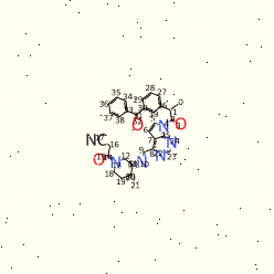 CC(C(=O)n1ccc2c(C=N[C@H]3CN(C(=O)CC#N)CC[C@H]3C)ncnc21)c1cccc(C(=O)c2ccccc2)c1